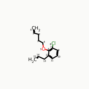 C=CCCCOc1c(Cl)cccc1CC=C